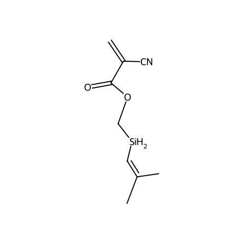 C=C(C#N)C(=O)OC[SiH2]C=C(C)C